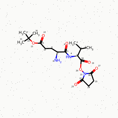 CC(C)[C@H](NC(=O)[C@@H](N)CCC(=O)OC(C)(C)C)C(=O)ON1C(=O)CCC1=O